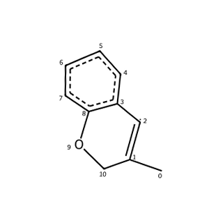 CC1=[C]c2ccccc2OC1